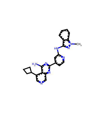 Cn1nc(Nc2cc(-c3nc(N)c4c(C5CCC5)cncc4n3)ccn2)c2ccccc21